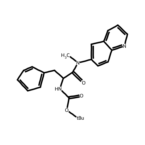 CN(C(=O)C(Cc1ccccc1)NC(=O)OC(C)(C)C)c1ccc2ncccc2c1